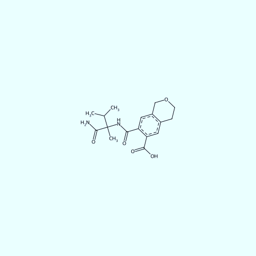 CC(C)C(C)(NC(=O)c1cc2c(cc1C(=O)O)CCOC2)C(N)=O